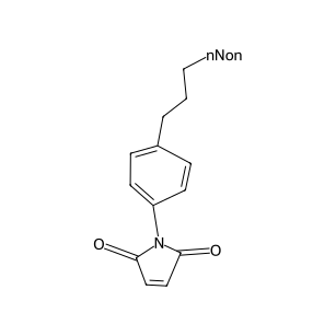 CCCCCCCCCCCCc1ccc(N2C(=O)C=CC2=O)cc1